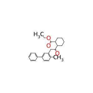 CCOC(=O)C1CCCCC1C(=O)Cc1cc(-c2ccccc2)ccc1C